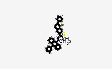 C=C(/C=c1\c(=C)sc2cc3c(ccc4c5ccccc5sc34)cc12)c1c2ccccc2c(-c2ccccc2)c2ccccc12